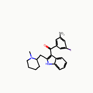 CN1CCCCC1Cc1[nH]c2ccccc2c1C(=O)c1cc(I)cc([N+](=O)[O-])c1